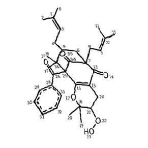 CC(C)=CCC1CC2(CC=C(C)C)C(=O)C3=C(OC(C)(C)C(OO)C3)C(C(=O)c3ccccc3)(C2=O)C1(C)C